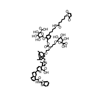 Cc1c(-c2ccc(-c3ccc4cccc(C(=O)Nc5nc6ccccc6s5)c4c3)nc2C(=O)O)cnn1CC12CC3(OCCN(CCCO[C@@H]4O[C@H](C(=O)O)[C@@H](O)[C@H](O)[C@H]4O)C(=O)OCc4ccc(CCCCNC(=O)CCCCCN5C(=O)C=CC5=O)cc4O[C@@H]4O[C@H](C(=O)O)[C@@H](O)[C@H](O)[C@H]4O)CC4(C)CC(C)(C1)C2(C4)C3